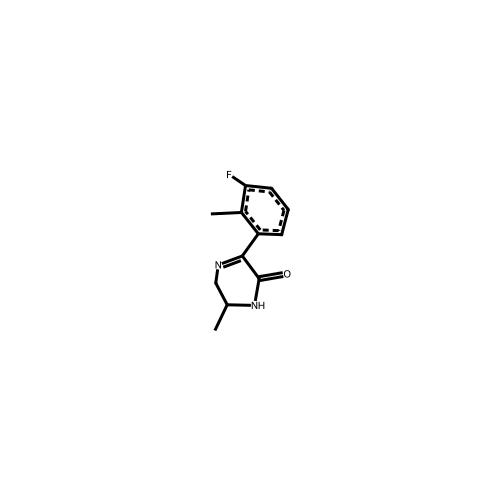 Cc1c(F)cccc1C1=NCC(C)NC1=O